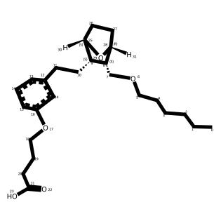 CCCCCCOC[C@@H]1[C@H](CCc2cccc(OCCCC(=O)O)c2)[C@@H]2CC[C@H]1O2